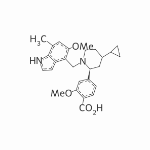 COc1cc([C@@H]2CC(C3CC3)CCN2Cc2c(OC)cc(C)c3[nH]ccc23)ccc1C(=O)O